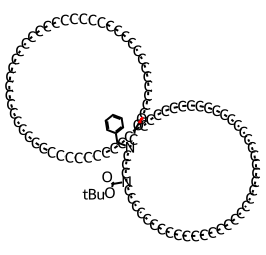 CC(C)(C)OC(=O)N1CCCCCCCCCCCCCCCCCCCCCCCCCCCCCCCCCCCCCCCCC2(CCCCCCCCCCCCCCCCCCCCCCCCCCCCCCCCCCCCCCCCCCCCCC23OCCO3)CN(Cc2ccccc2)CCC1